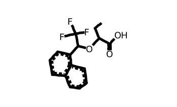 CCC(OC(c1cccc2ccccc12)C(F)(F)F)C(=O)O